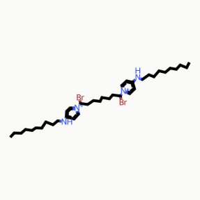 CCCCCCCCCCNc1cc[n+](C(Br)CCCCCCC(Br)[n+]2ccc(NCCCCCCCCCC)cc2)cc1